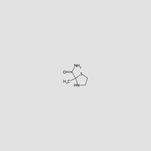 CC1(C(N)=O)NCCS1